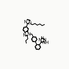 CCCCCCn1ccnc1-c1ccc2nc(CCC)n(Cc3ccc(-c4ccccc4-c4nnn[nH]4)cc3)c2c1